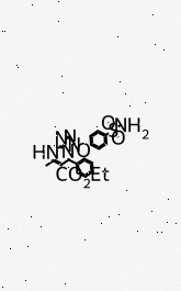 CCOC(=O)C1=C(C)Nc2nnnn2C1c1ccccc1Oc1ccc(S(N)(=O)=O)cc1